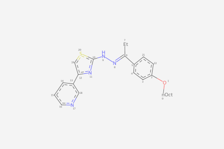 CCCCCCCCOc1ccc(C(CC)=NNc2nc(-c3cccnc3)cs2)cc1